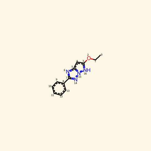 CCOc1cc2nc(-c3ccccc3)nn2[nH]1